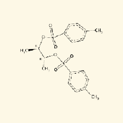 Cc1ccc(S(=O)(=O)O[C@H](C)[C@@H](C)OS(=O)(=O)c2ccc(C)cc2)cc1